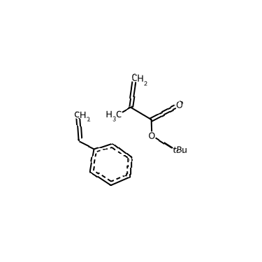 C=C(C)C(=O)OC(C)(C)C.C=Cc1ccccc1